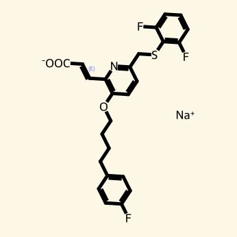 O=C([O-])/C=C/c1nc(CSc2c(F)cccc2F)ccc1OCCCCc1ccc(F)cc1.[Na+]